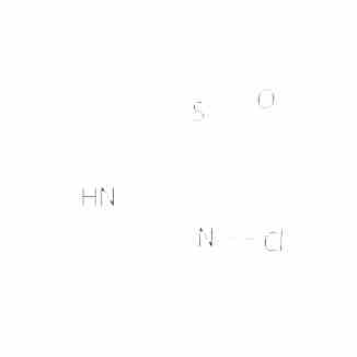 O=S=c1[nH]ccn1Cl